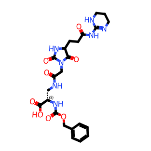 O=C(CN1C(=O)NC(CCC(=O)NC2=NCCCN2)C1=O)NC[C@H](NC(=O)OCc1ccccc1)C(=O)O